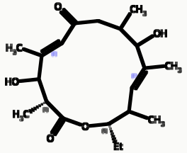 CC[C@@H]1OC(=O)[C@H](C)C(O)/C(C)=C/C(=O)CC(C)C(O)/C(C)=C/C1C